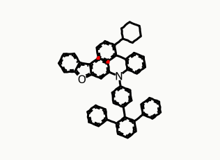 c1ccc(-c2cccc(-c3ccccc3)c2-c2ccc(N(c3ccc4c(c3)oc3ccccc34)c3ccccc3-c3ccccc3C3CCCCC3)cc2)cc1